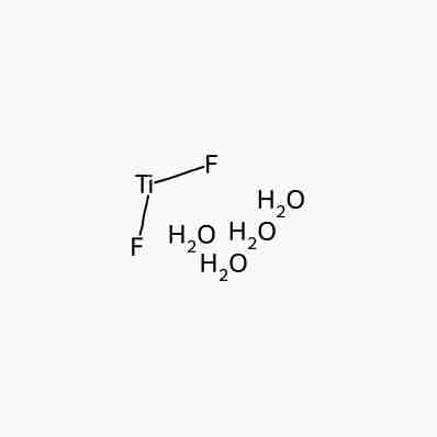 O.O.O.O.[F][Ti][F]